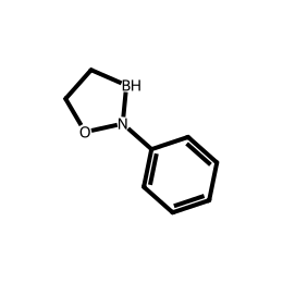 B1CCON1c1ccccc1